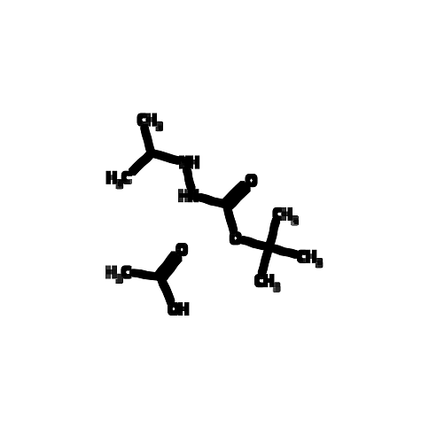 CC(=O)O.CC(C)NNC(=O)OC(C)(C)C